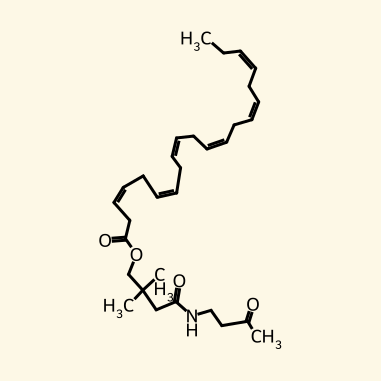 CC/C=C\C/C=C\C/C=C\C/C=C\C/C=C\C/C=C\CC(=O)OCC(C)(C)CC(=O)NCCC(C)=O